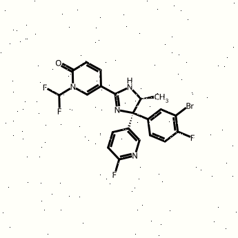 C[C@@H]1NC(c2ccc(=O)n(C(F)F)c2)=N[C@]1(c1ccc(F)nc1)c1ccc(F)c(Br)c1